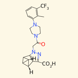 Cc1c(N2CCN(C(=O)Cn3nc(C(=O)O)c4c3C3C5[C@H]3[C@H]45)CC2)cccc1C(F)(F)F